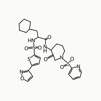 O=C1CN(S(=O)(=O)c2ccccn2)CCCC1NC(=O)C(CC1CCCCC1)NS(=O)(=O)c1ccc(-c2ccon2)s1